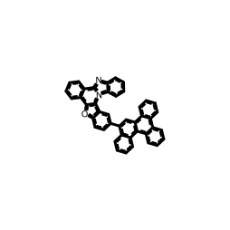 c1ccc2c(c1)nc1c3ccccc3c3oc4ccc(-c5cc6c7ccccc7c7ccccc7c6c6ccccc56)cc4c3n21